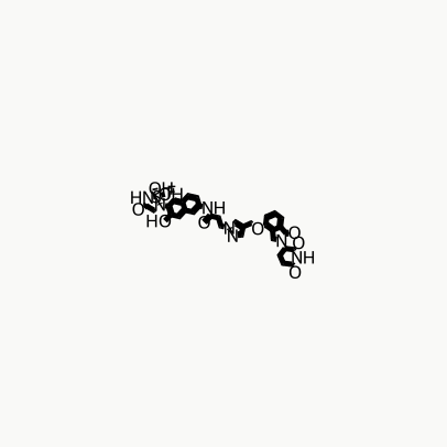 O=C1CCC(N2Cc3c(OCc4cnn(CCC(=O)Nc5ccc6c(F)c(N7CC(=O)NS7(O)O)c(O)cc6c5)c4)cccc3C2=O)C(=O)N1